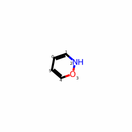 [C]1=CNOC=C1